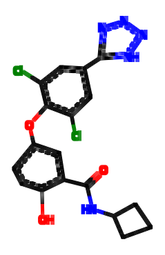 O=C(NC1CCC1)c1cc(Oc2c(Cl)cc(-c3nnn[nH]3)cc2Cl)ccc1O